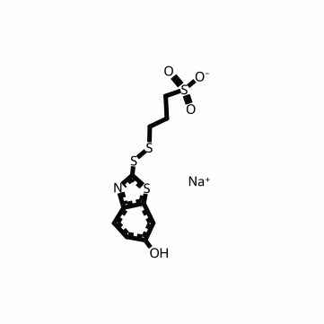 O=S(=O)([O-])CCCSSc1nc2ccc(O)cc2s1.[Na+]